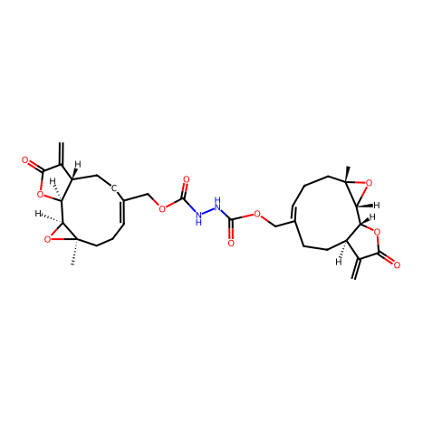 C=C1C(=O)O[C@@H]2[C@@H]1CC/C(COC(=O)NNC(=O)OC/C1=C/CC[C@@]3(C)O[C@H]3[C@H]3OC(=O)C(=C)[C@@H]3CC1)=C\CC[C@]1(C)O[C@H]21